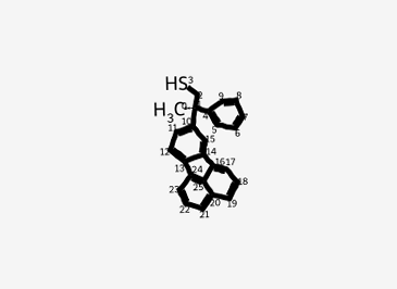 C[C@](CS)(c1ccccc1)c1ccc2c(c1)-c1cccc3cccc-2c13